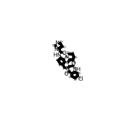 O=C(Nc1ccc(CN2C(=O)c3ccc(Cl)cc3NC(=O)[C@H]2Cc2ccccn2)cc1)c1ccncn1